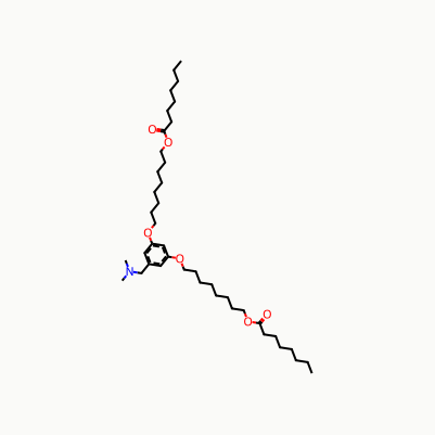 CCCCCCCC(=O)OCCCCCCCCOc1cc(CN(C)C)cc(OCCCCCCCCOC(=O)CCCCCCC)c1